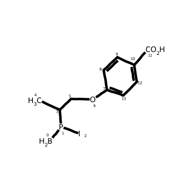 BP(I)C(C)COc1ccc(C(=O)O)cc1